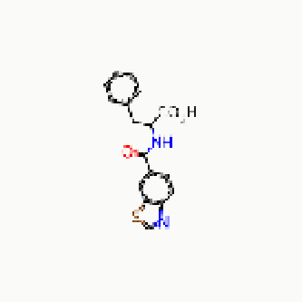 O=C(NC(Cc1ccccc1)C(=O)O)c1ccc2ncsc2c1